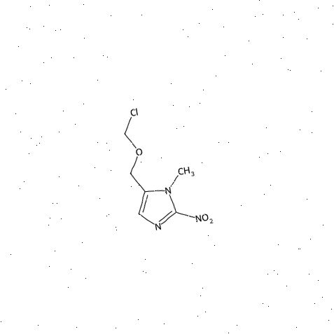 Cn1c(COCCl)cnc1[N+](=O)[O-]